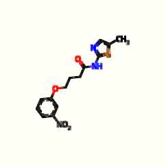 Cc1cnc(NC(=O)CCCOc2cccc([N+](=O)[O-])c2)s1